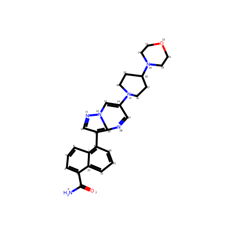 NC(=O)c1cccc2c(-c3cnn4cc(N5CCC(N6CCOCC6)CC5)cnc34)cccc12